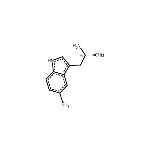 Cc1ccc2[nH]cc(C[C@H](N)C=O)c2c1